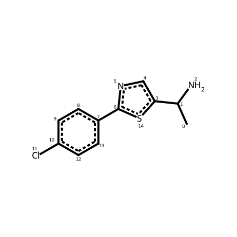 CC(N)c1cnc(-c2ccc(Cl)cc2)s1